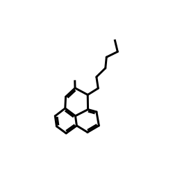 CCCCCCC1C(C)=Cc2cccc3cccc1c23